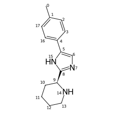 Cc1ccc(-c2cnc([C@@H]3CCCCN3)[nH]2)cc1